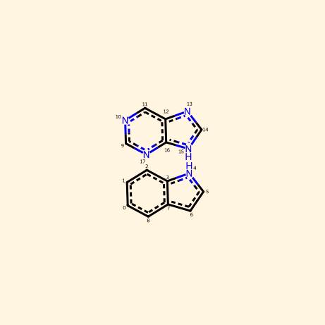 c1ccc2[nH]ccc2c1.c1ncc2nc[nH]c2n1